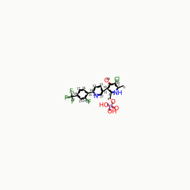 Cc1[nH]c(COP(=O)(O)O)c(-c2ccc(-c3ccc(C(F)(F)F)cc3F)nc2)c(=O)c1Cl